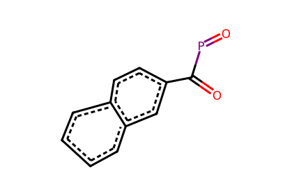 O=PC(=O)c1ccc2ccccc2c1